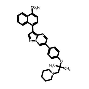 CC(C)(CN1CCCCC1)Oc1ccc(-c2cnc3c(-c4ccc(C(=O)O)c5ccccc45)cnn3c2)cc1